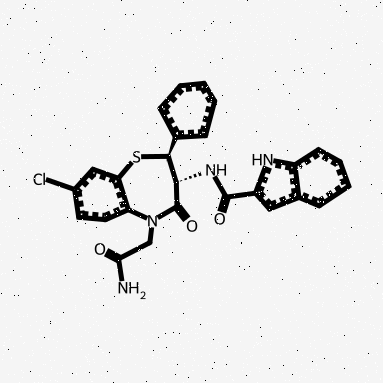 NC(=O)CN1C(=O)[C@@H](NC(=O)c2cc3ccccc3[nH]2)[C@H](c2ccccc2)Sc2cc(Cl)ccc21